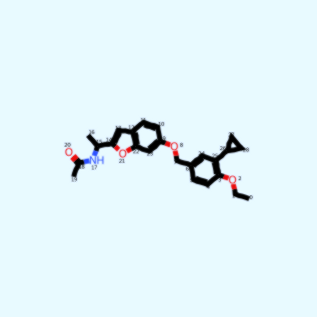 CCOc1ccc(COc2ccc3cc(C(C)NC(C)=O)oc3c2)cc1C1CC1